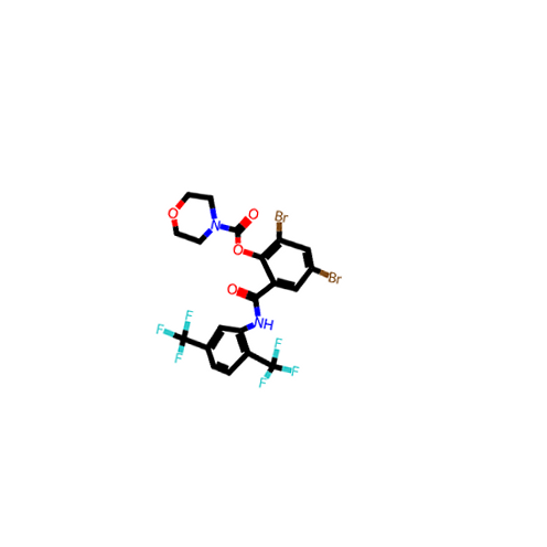 O=C(Nc1cc(C(F)(F)F)ccc1C(F)(F)F)c1cc(Br)cc(Br)c1OC(=O)N1CCOCC1